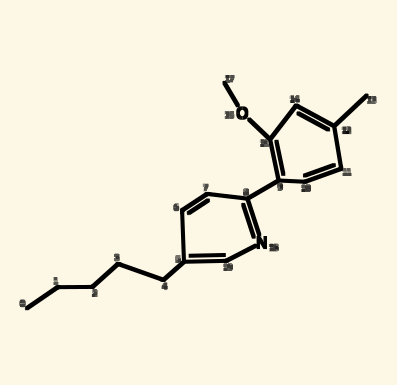 CCCCCc1ccc(-c2ccc(C)cc2OC)nc1